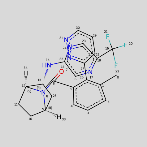 Cc1cccc(C(=O)N2[C@@H]3CC[C@H]2[C@H](Nc2cnc(C(F)(F)F)cn2)C3)c1-c1cccnn1